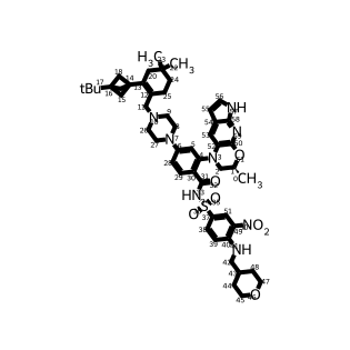 C[C@@H]1CN(c2cc(N3CCN(CC4=C(C56CC(C(C)(C)C)(C5)C6)CC(C)(C)CC4)CC3)ccc2C(=O)NS(=O)(=O)c2ccc(NCC3CCOCC3)c([N+](=O)[O-])c2)c2cc3cc[nH]c3nc2O1